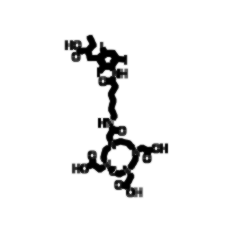 CCC(Cc1c(I)cc(I)c(NC(=O)CCCCCNC(=O)CN2CCN(CC(=O)O)CCN(CC(=O)O)CCN(CC(=O)O)CC2)c1I)C(=O)O